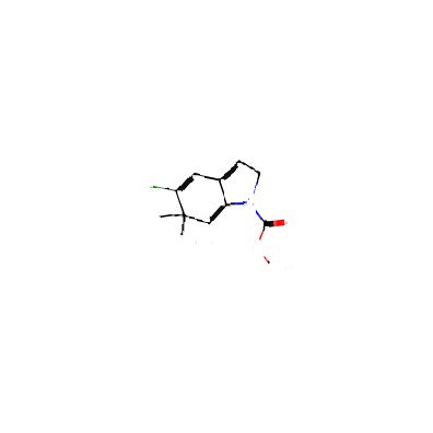 CC(C)(C)OC(=O)N1CC=C2C=C(Cl)C(C)(C(=O)O)C=C21